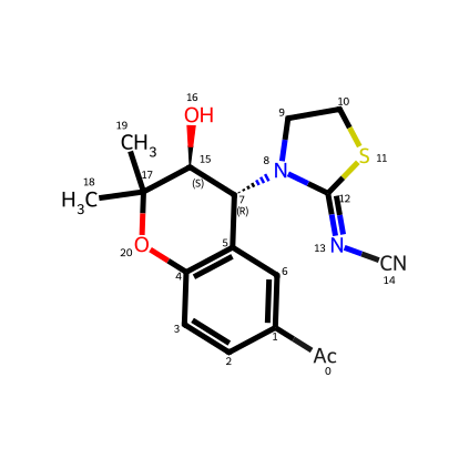 CC(=O)c1ccc2c(c1)[C@@H](N1CCSC1=NC#N)[C@H](O)C(C)(C)O2